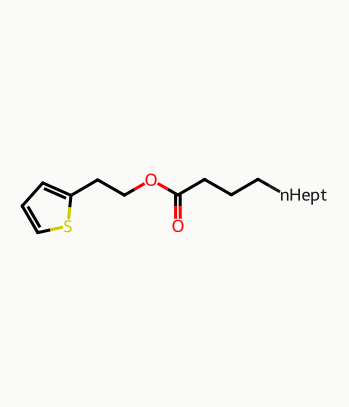 CCCCCCCCCCC(=O)OCCc1cccs1